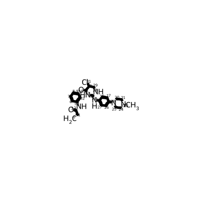 C=CC(=O)Nc1cccc(OC2NC(Nc3ccc(N4CCN(C)CC4)cc3)NCC2Cl)c1